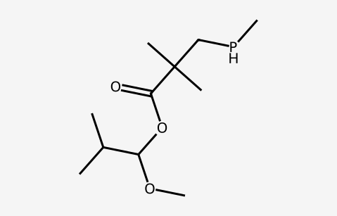 COC(OC(=O)C(C)(C)CPC)C(C)C